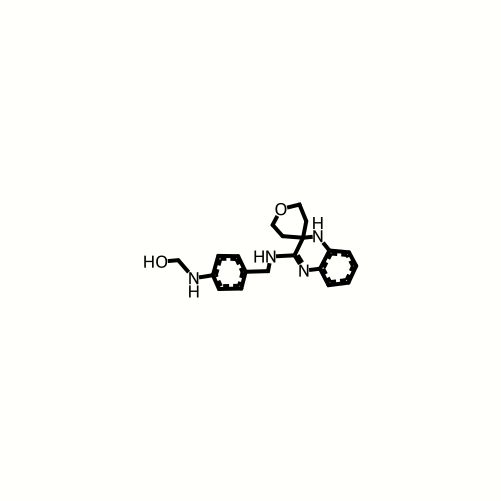 OCNc1ccc(CNC2=Nc3ccccc3NC23CCOCC3)cc1